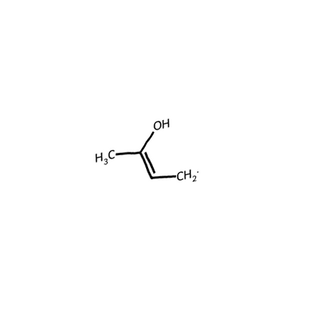 [CH2]/C=C(/C)O